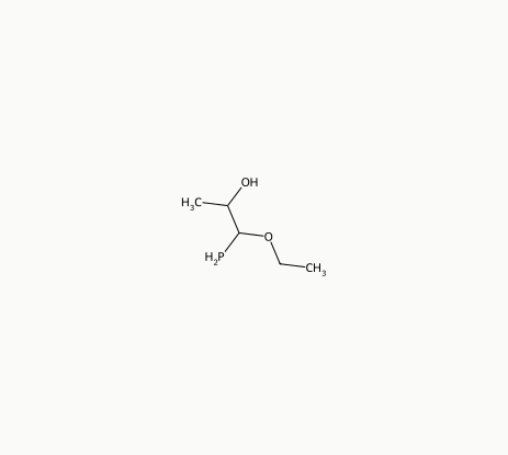 CCOC(P)C(C)O